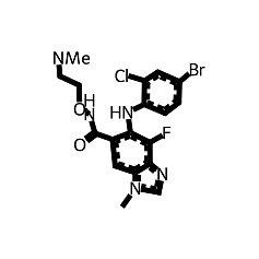 CNCCONC(=O)c1cc2c(ncn2C)c(F)c1Nc1ccc(Br)cc1Cl